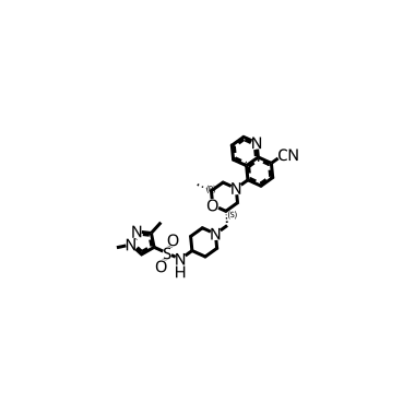 Cc1nn(C)cc1S(=O)(=O)NC1CCN(C[C@H]2CN(c3ccc(C#N)c4ncccc34)C[C@@H](C)O2)CC1